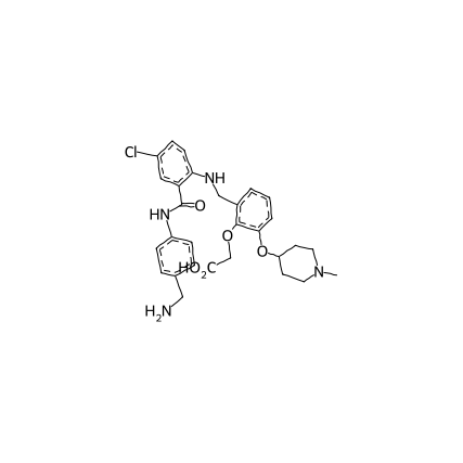 CN1CCC(Oc2cccc(CNc3ccc(Cl)cc3C(=O)Nc3ccc(CN)cc3)c2OCC(=O)O)CC1